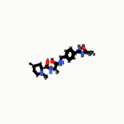 CCN1CC[C@H](C)C[C@@H]1C(=O)N[C@@H](C)C(=O)NCc1ccc(-c2noc(C(F)(F)F)n2)cc1